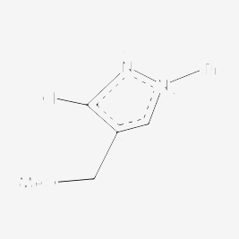 COCc1cn(C(C)C)nc1Cl